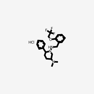 CN(C)C1CCC(c2ccccc2)N(NCc2ccccc2OCC(F)(F)F)C1.Cl